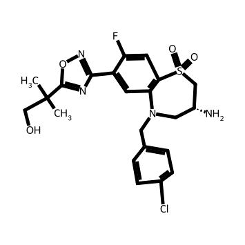 CC(C)(CO)c1nc(-c2cc3c(cc2F)S(=O)(=O)C[C@H](N)CN3Cc2ccc(Cl)cc2)no1